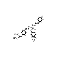 CCOC(Cc1ccc(OCCN(CCCOc2ccc(F)cc2)C(=O)Oc2ccc(OC(F)(F)F)cc2)cc1)C(=O)O